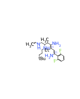 C=CNCC(NCCCC(C)(C)C)C(C)/C(N)=C(/C=C(\N)c1c(F)cccc1F)CC